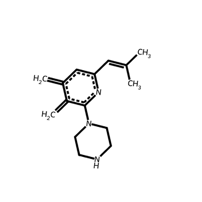 C=c1cc(C=C(C)C)nc(N2CCNCC2)c1=C